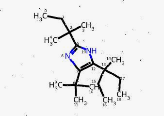 CCC(C)(C)c1nc(C(C)(C)C)c(C(C)(CC)CC)[nH]1